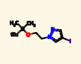 CC(C)(C)[Si](C)(C)OCCn1cc(I)cn1